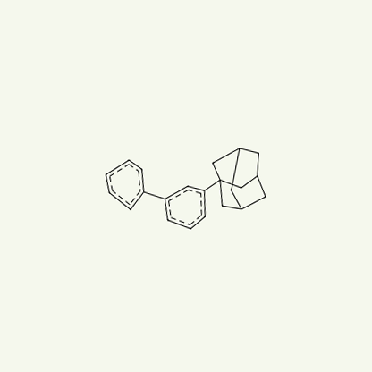 c1ccc(-c2cccc(C34CC5CC(CC(C5)C3)C4)c2)cc1